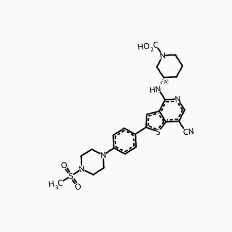 CS(=O)(=O)N1CCN(c2ccc(-c3cc4c(N[C@H]5CCCN(C(=O)O)C5)ncc(C#N)c4s3)cc2)CC1